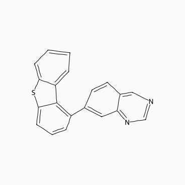 c1ccc2c(c1)sc1cccc(-c3ccc4cncnc4c3)c12